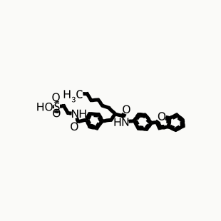 CCCCCCC(Cc1ccc(C(=O)NCCS(=O)(=O)O)cc1)C(=O)Nc1ccc(-c2cc3ccccc3o2)cc1